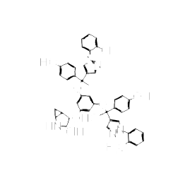 C1CC2CC2N1.CC(Oc1cc(C=O)cc(OC(C)(c2ccc(O)cc2)c2cnn(-c3ccccc3C(F)(F)F)c2)c1)(c1ccc(O)cc1)c1cnn(-c2ccccc2C(F)(F)F)c1.Cl